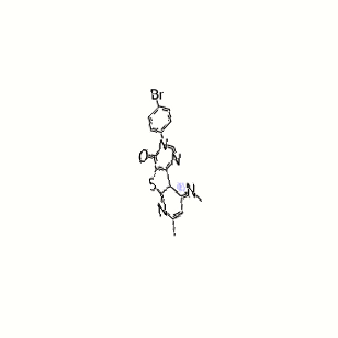 C/N=C1\C=C(C)N=C2Sc3c(ncn(-c4ccc(Br)cc4)c3=O)C21